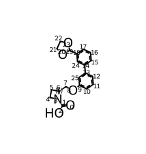 O=C(O)N1CC[C@H]1COc1cccc(-c2cccc(C3OCCO3)c2)c1